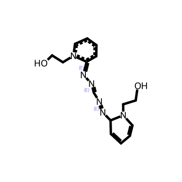 OCCN1C=CC=CC1/N=N/C=N/N=c1\ccccn1CCO